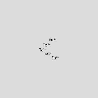 [Eu+3].[Eu+3].[Te-2].[Te-2].[Te-2]